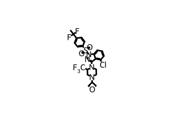 CC(F)(F)c1ccc(S(=O)(=O)n2nc(N3CCN(C4COC4)CC3C(F)(F)F)c3c(Cl)cccc32)cc1